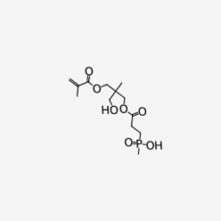 C=C(C)C(=O)OCC(C)(CO)COC(=O)CCP(C)(=O)O